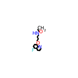 C=CC(=O)NCCCCOc1ccc(F)c2cccnc12